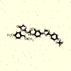 COCc1ccc(C)cc1N1C(=O)CS/C1=N\C(=O)Nc1ccc(-n2cnc(-c3ccc(OC(F)(F)F)cc3)n2)cc1Cl